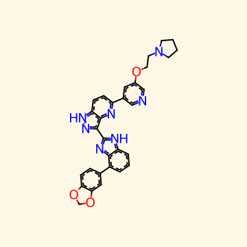 c1cc(-c2ccc3c(c2)OCO3)c2nc(-c3n[nH]c4ccc(-c5cncc(OCCN6CCCC6)c5)nc34)[nH]c2c1